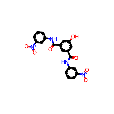 O=C(Nc1cccc([N+](=O)[O-])c1)c1cc(O)cc(C(=O)Nc2cccc([N+](=O)[O-])c2)c1